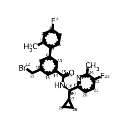 Cc1cc(F)ccc1-c1cc(CBr)cc(C(=O)N[C@@H](c2ccc(F)c(C)n2)C2CC2)c1